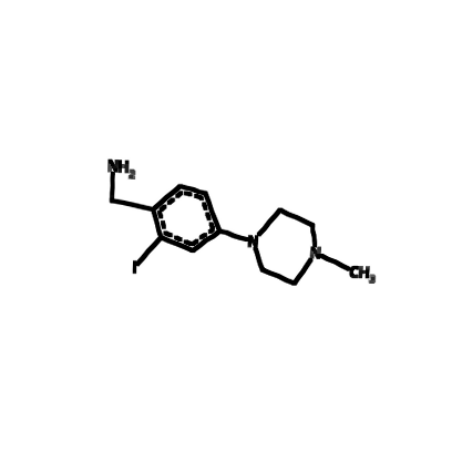 CN1CCN(c2ccc(CN)c(I)c2)CC1